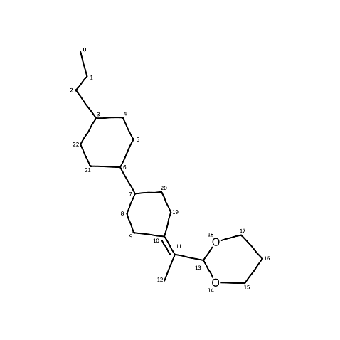 CCCC1CCC(C2CCC(=C(C)C3OCCCO3)CC2)CC1